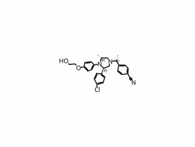 C[C@H](c1ccc(C#N)cc1)N1C[C@@H](C)N(c2ccc(OCCO)cc2)[C@H](c2ccc(Cl)cc2)C1